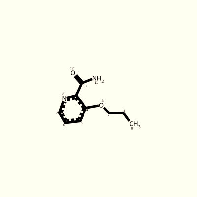 CCCOc1cccnc1C(N)=O